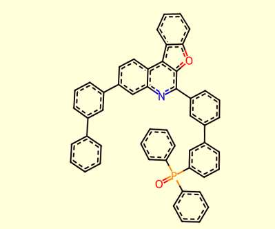 O=P(c1ccccc1)(c1ccccc1)c1cccc(-c2cccc(-c3nc4cc(-c5cccc(-c6ccccc6)c5)ccc4c4c3oc3ccccc34)c2)c1